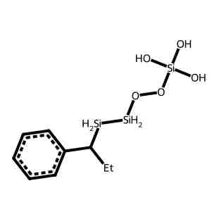 CCC([SiH2][SiH2]OO[Si](O)(O)O)c1ccccc1